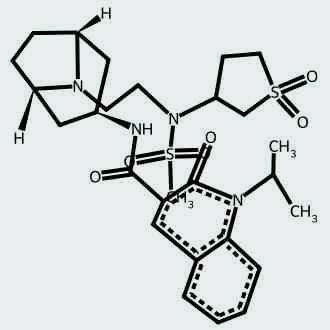 CC(C)n1c(=O)c(C(=O)N[C@@H]2C[C@H]3CC[C@@H](C2)N3CCN(C2CCS(=O)(=O)C2)S(C)(=O)=O)cc2ccccc21